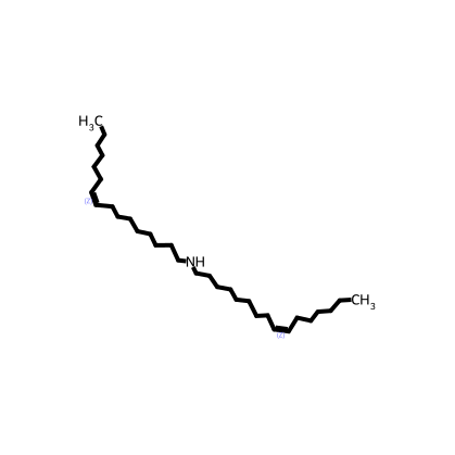 CCCCCC/C=C\CCCCCCCCNCCCCCCCC/C=C\CCCCCC